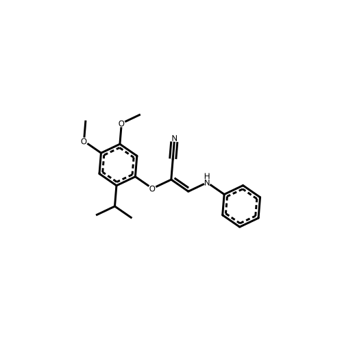 COc1cc(O/C(C#N)=C/Nc2ccccc2)c(C(C)C)cc1OC